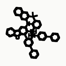 CC1(C)c2cc3ccccc3cc2N2c3cc4c(oc5ccccc54)c(-c4ccc(-c5ccccc5)cc4Nc4ccc(-c5ccccc5)cc4)c3Bc3cccc1c32